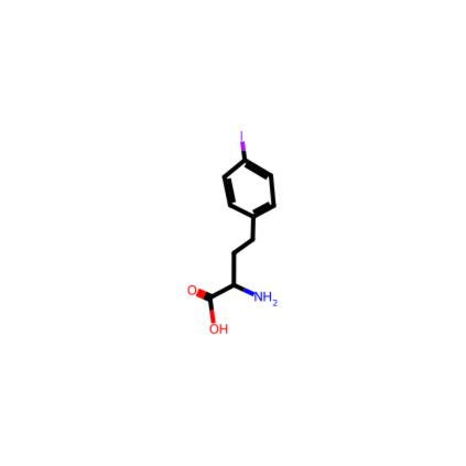 NC(CCc1ccc(I)cc1)C(=O)O